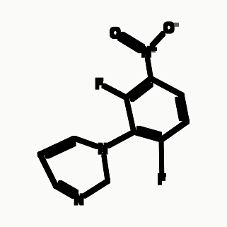 O=[N+]([O-])c1ccc(F)c(N2C=CC=NC2)c1F